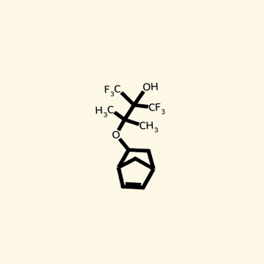 CC(C)(OC1CC2C=CC1C2)C(O)(C(F)(F)F)C(F)(F)F